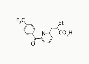 CCC(=Cc1cccc(C(=O)c2ccc(C(F)(F)F)cc2)n1)C(=O)O